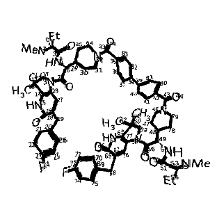 CC[C@H](NC)C(=O)N[C@H](C(=O)N1CC(C)(C)c2[nH]c(=O)c(Cc3ccc(F)cc3)cc21)C1CCN(C(=O)c2ccc(-c3ccc(C(=O)N4CCC([C@H](NC(=O)[C@H](CC)NC)C(=O)N5CC(C)(C)c6[nH]c(=O)c(Cc7ccc(F)cc7)cc65)CC4)cc3)cc2)CC1